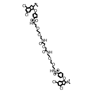 CN(C)C1Cc2c(Cl)cc(Cl)cc2[C@@H]1Oc1ccc(S(=O)(=O)NCCOCCOCCNC(=O)COCC(=O)NCCOCCOCCNS(=O)(=O)c2ccc(O[C@H]3c4cc(Cl)cc(Cl)c4C[C@@H]3N(C)C)cc2)cc1